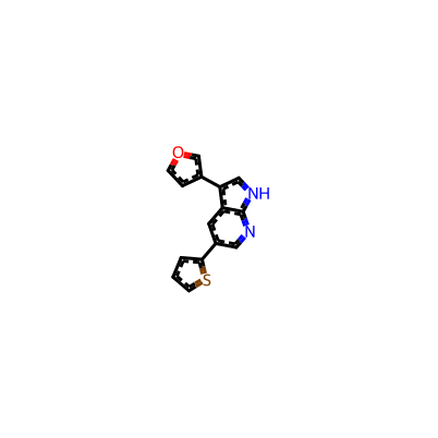 c1csc(-c2cnc3[nH]cc(-c4ccoc4)c3c2)c1